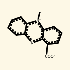 C[n+]1c2ccccc2nc2c(C(=O)[O-])cccc21